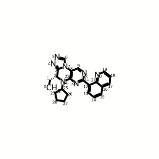 CC[C@@H]1c2nncn2-c2cnc(-c3cccc4cccnc34)nc2N1C1CCCC1